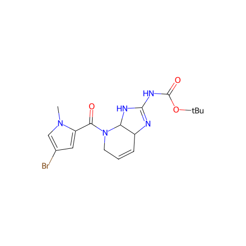 Cn1cc(Br)cc1C(=O)N1CC=CC2N=C(NC(=O)OC(C)(C)C)NC21